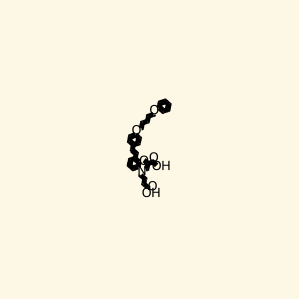 O=C(O)CCCN1CC(C(=O)O)Oc2c(C=Cc3ccc(OCCCCCOc4ccccc4)cc3)cccc21